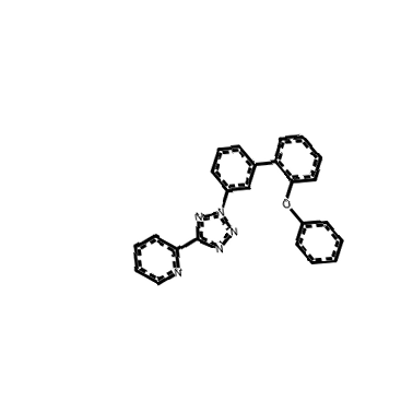 c1ccc(Oc2ccccc2-c2cccc(-n3nnc(-c4ccccn4)n3)c2)cc1